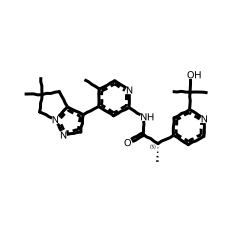 Cc1cnc(NC(=O)[C@@H](C)c2ccnc(C(C)(C)O)c2)cc1-c1cnn2c1CC(C)(C)C2